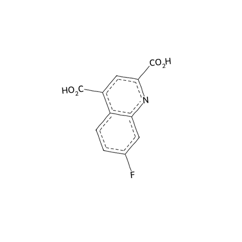 O=C(O)c1cc(C(=O)O)c2ccc(F)cc2n1